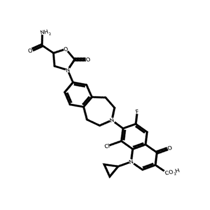 NC(=O)C1CN(c2ccc3c(c2)CCN(c2c(F)cc4c(=O)c(C(=O)O)cn(C5CC5)c4c2Cl)CC3)C(=O)O1